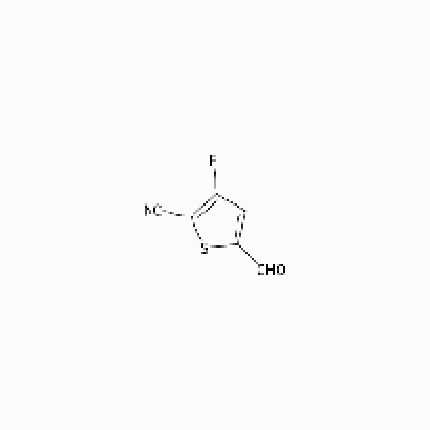 N#Cc1sc(C=O)cc1F